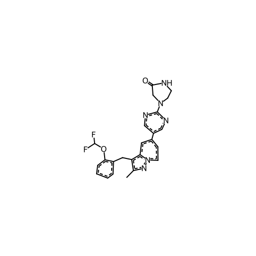 Cc1nn2ccc(-c3cnc(N4CCNC(=O)C4)nc3)cc2c1Cc1ccccc1OC(F)F